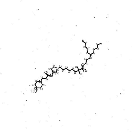 CCCCCC(CCCCC)CCCOC(=O)C(C)(C)CCCCCCN1CC[C@H](OC(=O)CCN2CCC(O)CC2)C1